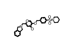 O=c1cc(CN2Cc3ccccc3C2)occ1OCc1ccc(S(=O)(=O)N2CCCCC2)cc1